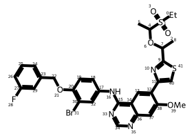 CCS(=O)(=O)C(C)OC(C)c1nc(-c2cc3c(Nc4ccc(OCc5cccc(F)c5)c(Br)c4)ncnc3cc2OC)cs1